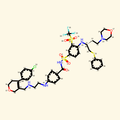 O=C(NS(=O)(=O)c1ccc(N[C@H](CCN2CCOCC2)CSc2ccccc2)c(S(=O)(=O)C(F)(F)F)c1)c1ccc(NCCNCC2=C(c3ccc(Cl)cc3)CCOC2)cc1